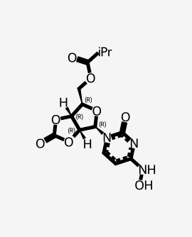 CC(C)C(=O)OC[C@H]1O[C@@H](n2ccc(NO)nc2=O)[C@@H]2OC(=O)O[C@@H]21